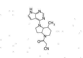 CC1CCN(C(=O)CC#N)C2CCN(c3ncnc4[nH]ccc34)C12